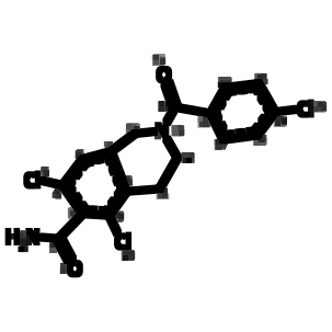 NC(=O)c1c(Cl)cc2c(c1Cl)CCN(C(=O)c1ccc(Cl)cc1)C2